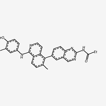 CCC(=O)Nc1ncc2cc(-c3c(C)ccc4c(Nc5ccc(OC)c(C(F)(F)F)c5)nccc34)ccc2n1